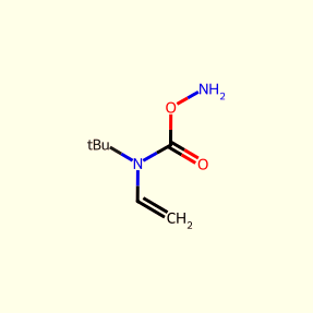 C=CN(C(=O)ON)C(C)(C)C